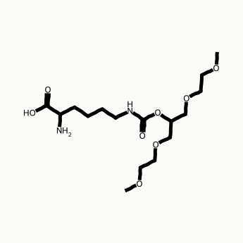 COCCOCC(COCCOC)OC(=O)NCCCCC(N)C(=O)O